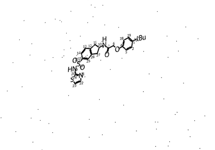 CC(C)(C)c1ccc(OCC(=O)NC2Cc3ccc(S(=O)(=O)Nc4nccs4)cc3C2)cc1